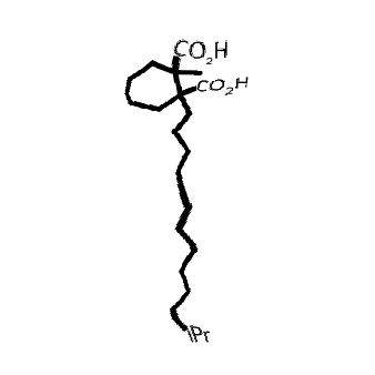 CC(C)CCCCCCCCCCC1(C(=O)O)CCCCC1(C)C(=O)O